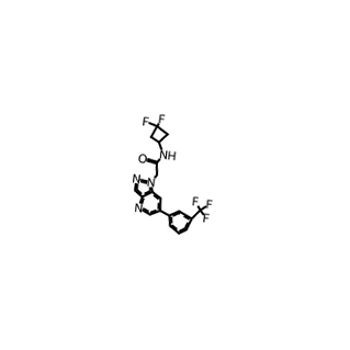 O=C(Cn1ncc2ncc(-c3cccc(C(F)(F)F)c3)cc21)NC1CC(F)(F)C1